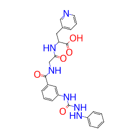 O=C(CNC(=O)c1cccc(NC(=O)NNc2ccccc2)c1)NC(Cc1cccnc1)C(=O)O